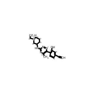 C#Cc1ccc(-c2nnc(NC3CCCN(CC(=O)O)C3)nc2C)c(O)c1